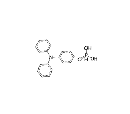 O=[PH](O)O.c1ccc(N(c2ccccc2)c2ccccc2)cc1